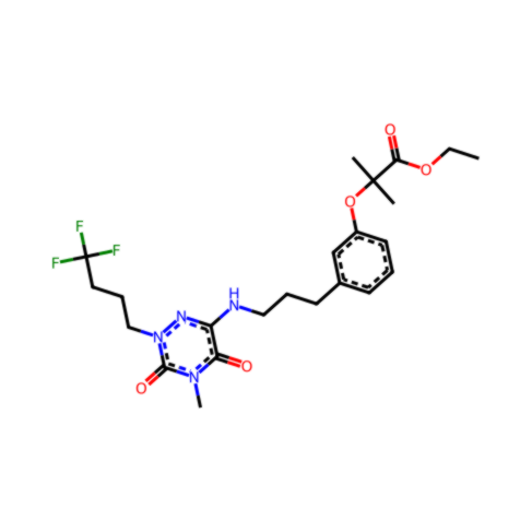 CCOC(=O)C(C)(C)Oc1cccc(CCCNc2nn(CCCC(F)(F)F)c(=O)n(C)c2=O)c1